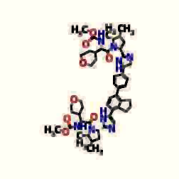 COC(=O)N[C@H](C(=O)N1[C@H](C)C(C)C[C@H]1C1=NCC(c2ccc(-c3ccc(-c4cnc([C@@H]5CC(C)[C@@H](C)N5C(=O)[C@@H](NC(=O)OC)C5CCOCC5)[nH]4)c4c3CCC4)cc2)N1)C1CCOCC1